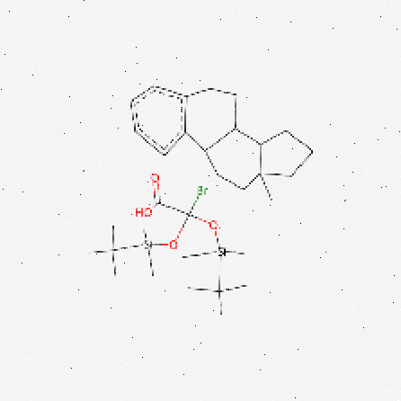 CC(C)(C)[Si](C)(C)OC(Br)(O[Si](C)(C)C(C)(C)C)C(=O)O.CC12CCCC1C1CCc3ccccc3C1CC2